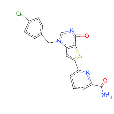 NC(=O)c1[c]ccc(-c2cc3c(s2)c(=O)ncn3Cc2ccc(Cl)cc2)n1